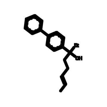 CC=CCCC(O)(CC)c1ccc(-c2ccccc2)cc1